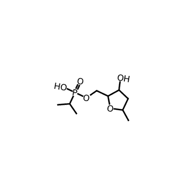 CC1CC(O)C(COP(=O)(O)C(C)C)O1